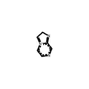 C1=[n+]2ccncc2=NC1